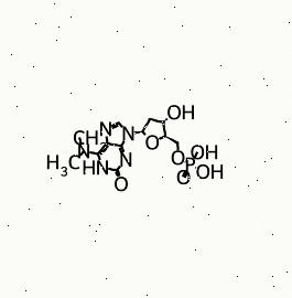 CN(C)c1[nH]c(=O)nc2c1ncn2[C@H]1C[C@H](O)[C@@H](COP(=O)(O)O)O1